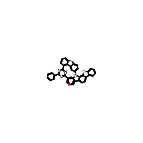 c1ccc(-c2nc(-c3ccccc3)nc(-c3cccc4oc5ccc(-n6c7ccccc7c7ccc8c9ccccc9oc8c76)cc5c34)n2)cc1